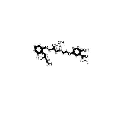 Cl.NC(=O)c1cc(OCCNCC(O)COc2ccccc2CC(O)CO)ccc1O